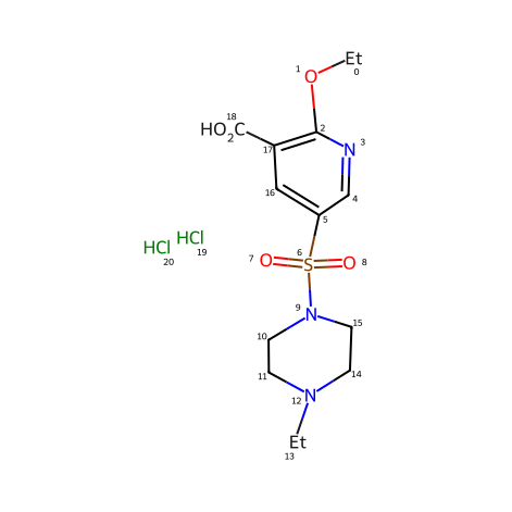 CCOc1ncc(S(=O)(=O)N2CCN(CC)CC2)cc1C(=O)O.Cl.Cl